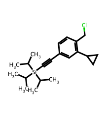 CC(C)[Si](C#Cc1ccc(CCl)c(C2CC2)c1)(C(C)C)C(C)C